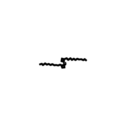 CCCCCCCCCCCCC1=C(OC2=C(CCCCCCCCCCCC)CC2)CC1